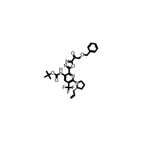 C=CC[C@@H]1CCCN1c1nc(-c2nnc(C(=O)COCc3ccccc3)o2)c(NC(=O)OC(C)(C)C)cc1C(F)(F)F